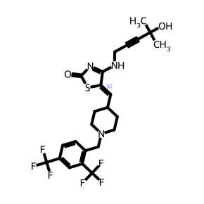 CC(C)(O)C#CCNC1=NC(=O)S/C1=C\C1CCN(Cc2ccc(C(F)(F)F)cc2C(F)(F)F)CC1